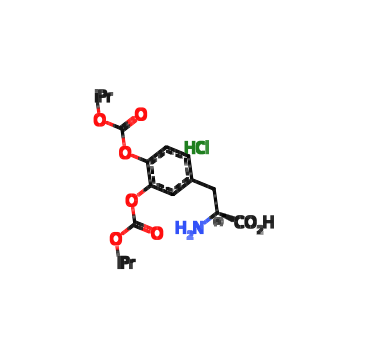 CC(C)OC(=O)Oc1ccc(C[C@H](N)C(=O)O)cc1OC(=O)OC(C)C.Cl